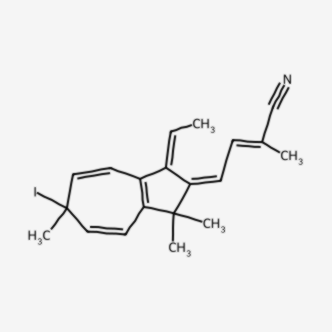 C/C=C1/C2=C(C=CC(C)(I)C=C2)C(C)(C)/C1=C/C=C(\C)C#N